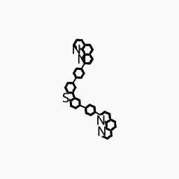 c1cnc2c(c1)ccc1ccc(-c3ccc(-c4ccc5sc6ccc(-c7ccc(-c8ccc9ccc%10cccnc%10c9n8)cc7)cc6c5c4)cc3)nc12